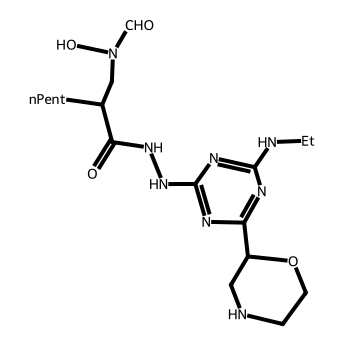 CCCCCC(CN(O)C=O)C(=O)NNc1nc(NCC)nc(C2CNCCO2)n1